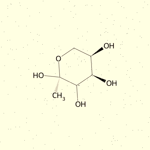 C[C@]1(O)OC[C@@H](O)[C@@H](O)[C]1O